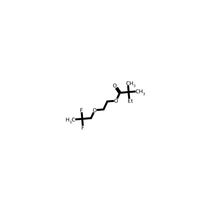 CCC(C)(C)C(=O)OCCOCC(C)(F)F